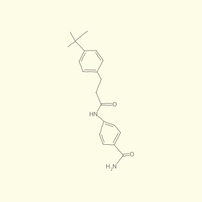 CC(C)(C)c1ccc(CCC(=O)Nc2ccc(C(N)=O)cc2)cc1